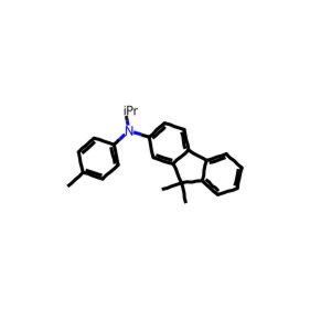 Cc1ccc(N(c2ccc3c(c2)C(C)(C)c2ccccc2-3)C(C)C)cc1